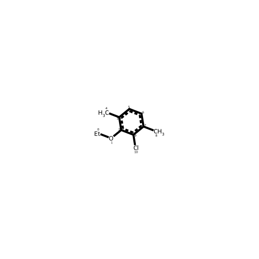 CCOc1c(C)ccc(C)c1Cl